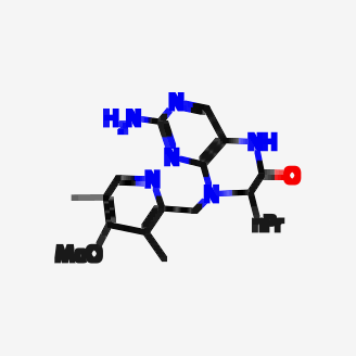 CCCC1C(=O)Nc2cnc(N)nc2N1Cc1ncc(C)c(OC)c1C